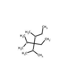 [CH2]CC(N(C)C)(N(C)C)N(C)CC